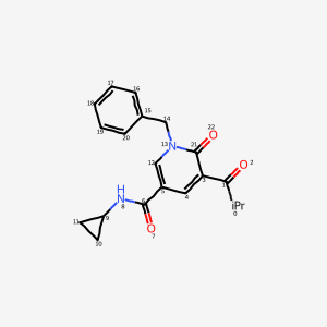 CC(C)C(=O)c1cc(C(=O)NC2CC2)cn(Cc2ccccc2)c1=O